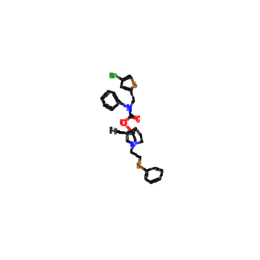 O=C(O[C@H]1C[N+]2(CCSc3ccccc3)CCC1CC2)N(Cc1cc(Br)cs1)c1ccccc1